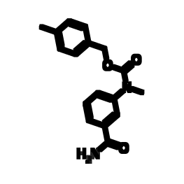 Cc1ccc(COC(=O)N(C)c2cccc(C(N)=O)c2)cc1